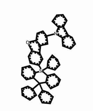 c1ccc(C2(c3ccccc3)c3ccccc3[Si](c3ccccc3)(c3ccc4oc5ccc(-n6c7ccccc7c7ccccc76)cc5c4c3)c3ccccc32)cc1